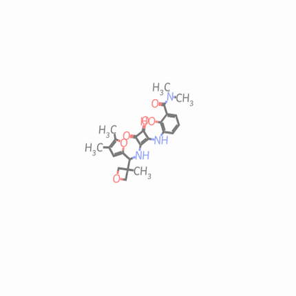 Cc1cc(C(Nc2c(Nc3cccc(C(=O)N(C)C)c3O)c(=O)c2=O)C2(C)COC2)oc1C